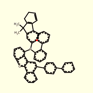 CC1(C)C2=C(C=CCC2)c2ccc(N(c3ccccc3-c3ccccc3)c3cccc4oc5c6ccccc6c(-c6ccc(-c7ccccc7)cc6)cc5c34)cc21